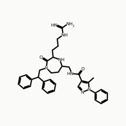 Cc1c(C(=O)NCC2CCN(CC(c3ccccc3)c3ccccc3)C(=O)C(CCCNC(=N)N)N2)cnn1-c1ccccc1